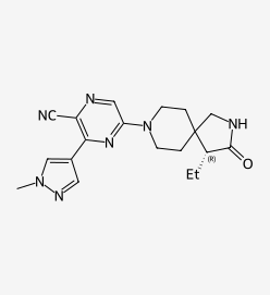 CC[C@H]1C(=O)NCC12CCN(c1cnc(C#N)c(-c3cnn(C)c3)n1)CC2